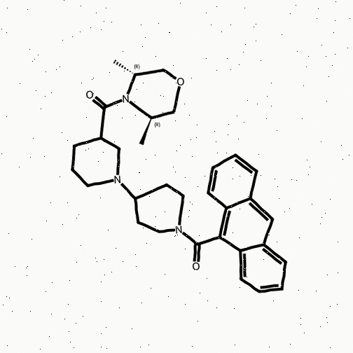 C[C@@H]1COC[C@@H](C)N1C(=O)C1CCCN(C2CCN(C(=O)c3c4ccccc4cc4ccccc34)CC2)C1